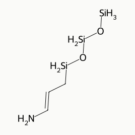 NC=CC[SiH2]O[SiH2]O[SiH3]